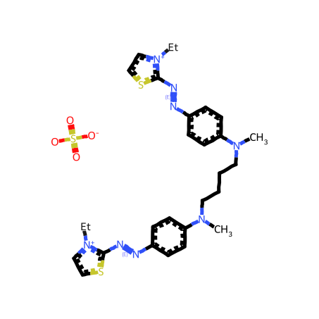 CC[n+]1ccsc1/N=N/c1ccc(N(C)CCCCN(C)c2ccc(/N=N/c3scc[n+]3CC)cc2)cc1.O=S(=O)([O-])[O-]